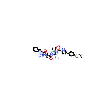 CC(C)[C@](C)(NC(=O)c1cc2ccccc2[nH]1)C(=O)N1C[C@@H]2C[C@H]1CN2C(=O)c1ccc(-c2ccc(C#N)cc2)cn1